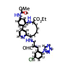 CCOC(=O)[C@H]1CCCC[C@H](NC/C(C=O)=C/c2cc(Cl)ccc2-n2cnnn2)c2cc(ccn2)-c2ccc(NC(=O)OC)cc2N1